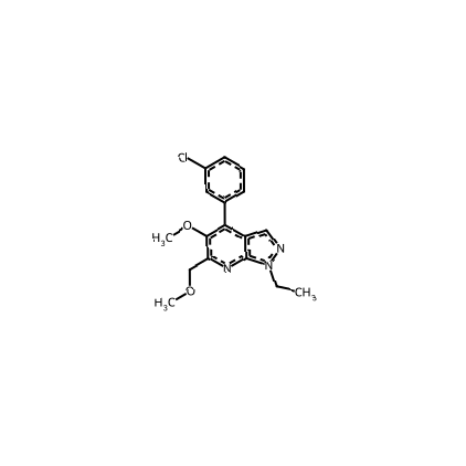 CCn1ncc2c(-c3cccc(Cl)c3)c(OC)c(COC)nc21